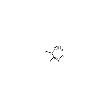 CC=C(C)[C](C)[SiH3]